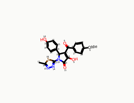 COc1ccc(C(=O)C2=C(O)C(=O)N(c3nnc(C)s3)C2c2ccc(O)cc2)cc1